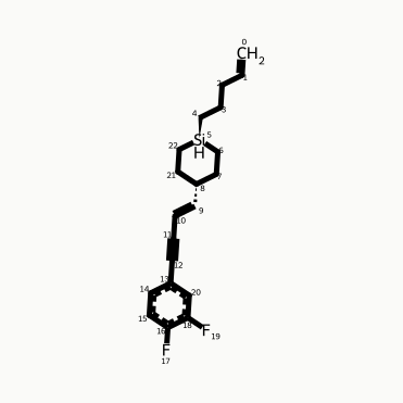 C=CCCC[Si@H]1CC[C@H](C=CC#Cc2ccc(F)c(F)c2)CC1